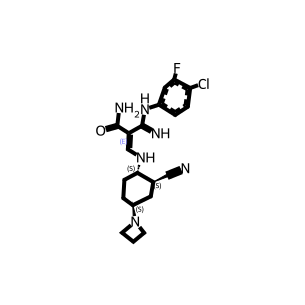 N#C[C@H]1C[C@@H](N2CCC2)CC[C@@H]1N/C=C(\C(=N)Nc1ccc(Cl)c(F)c1)C(N)=O